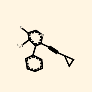 Nc1c(F)cnc(C#CC2CC2)c1-c1ccccc1